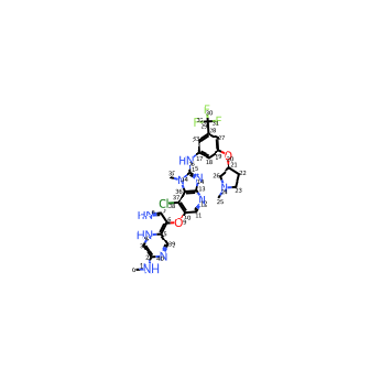 CNC1=CN/C(=C(\C=N)Oc2cnc3nc(Nc4cc(O[C@H]5CCN(C)C5)cc(C(F)(F)F)c4)n(C)c3c2Cl)C=N1